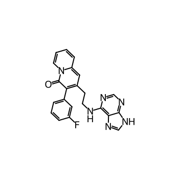 O=c1c(-c2cccc(F)c2)c(CCNc2ncnc3[nH]cnc23)cc2ccccn12